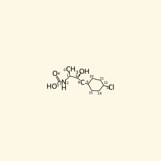 C[C@H](NC(=O)O)[C@@H](O)CC1CCC(Cl)CC1